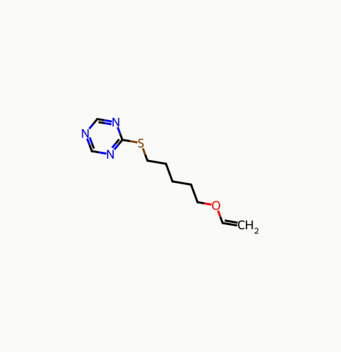 C=COCCCCCSc1ncncn1